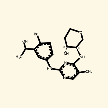 Cc1cnc(Nc2ccc(Br)c(C(C)O)c2)nc1N[C@@H]1COCC[C@H]1C#N